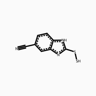 N#Cc1ccc2[nH]c(SS)nc2c1